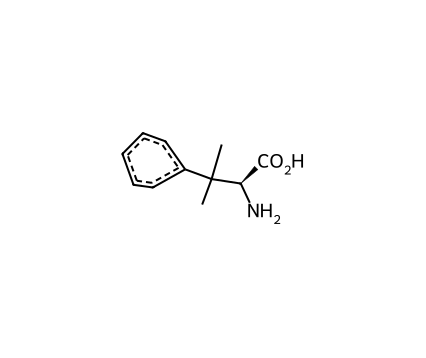 CC(C)(c1ccccc1)[C@H](N)C(=O)O